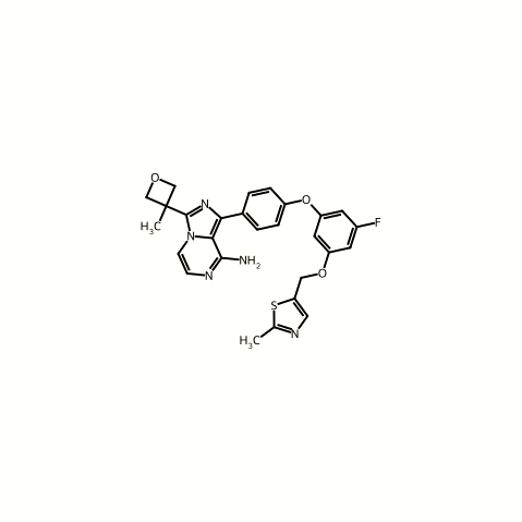 Cc1ncc(COc2cc(F)cc(Oc3ccc(-c4nc(C5(C)COC5)n5ccnc(N)c45)cc3)c2)s1